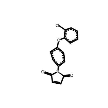 O=C1C=CC(=O)N1c1ccc(Oc2ccccc2Cl)cc1